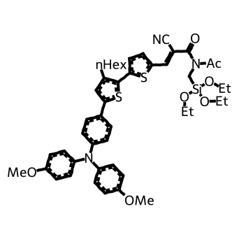 CCCCCCc1cc(-c2ccc(N(c3ccc(OC)cc3)c3ccc(OC)cc3)cc2)sc1-c1ccc(/C=C(\C#N)C(=O)N(C[Si](OCC)(OCC)OCC)C(C)=O)s1